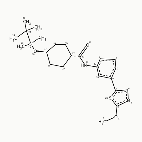 COc1ncc(-c2cccc(NC(=O)[C@H]3CC[C@H](O[Si](C)(C)C(C)(C)C)CC3)c2)s1